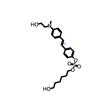 CN(CCO)c1ccc(/C=C/c2ccc(OS(=O)(=O)OCCCCCCO)cc2)cc1